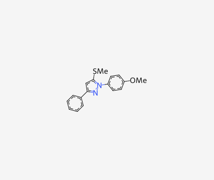 COc1ccc(-n2nc(-c3ccccc3)cc2SC)cc1